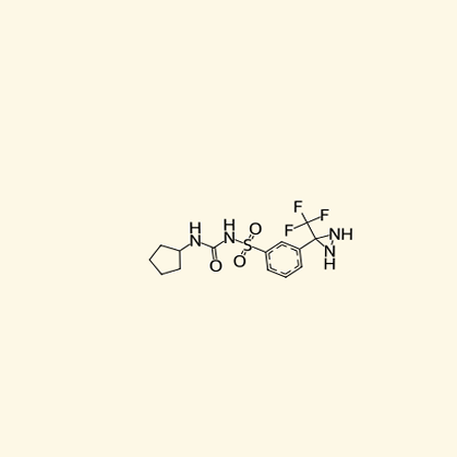 O=C(NC1CCCC1)NS(=O)(=O)c1cccc(C2(C(F)(F)F)NN2)c1